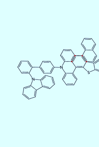 c1cc(-c2cccc3ccccc23)cc(N(c2ccc(-c3ccccc3-n3c4ccccc4c4ccccc43)cc2)c2ccccc2-c2cccc3c2sc2ccccc23)c1